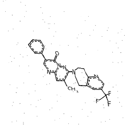 Cc1cc2ncc(-c3ccccc3)c(=O)n2nc1N1CCc2ncc(C(F)(F)F)cc2C1